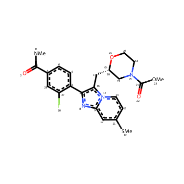 CNC(=O)c1ccc(-c2nc3cc(SC)ccn3c2C[C@H]2CN(C(=O)OC)CCO2)c(F)c1